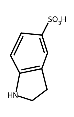 O=S(=O)(O)c1ccc2c(c1)CCN2